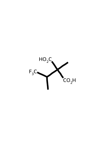 CC(C(F)(F)F)C(C)(C(=O)O)C(=O)O